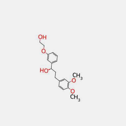 COc1ccc(CC[C@@H](O)c2cccc(OCCO)c2)cc1OC